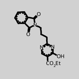 CCOC(=O)c1cnc(CCCN2C(=O)c3ccccc3C2=O)nc1O